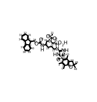 Cc1c(C)c(S(=O)(=O)NC(=N)NCCCC(CN(CC(=O)O)S(C)(=O)=O)NC(=O)OCC2c3ccccc3-c3ccccc32)c(C)c2c1OC(C)(C)C2